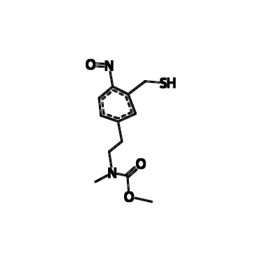 COC(=O)N(C)CCc1ccc(N=O)c(CS)c1